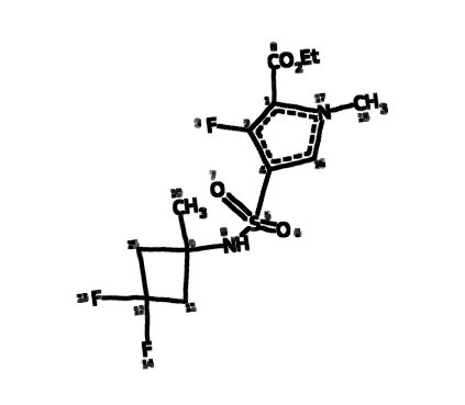 CCOC(=O)c1c(F)c(S(=O)(=O)NC2(C)CC(F)(F)C2)cn1C